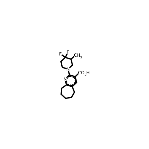 CC1CN(c2nc3c(cc2C(=O)O)CCCCC3)CCC1(F)F